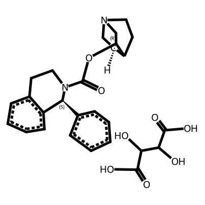 O=C(O)C(O)C(O)C(=O)O.O=C(O[C@H]1CN2CCC1CC2)N1CCc2ccccc2[C@@H]1c1ccccc1